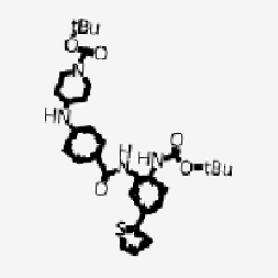 CC(C)(C)OC(=O)Nc1ccc(-c2cccs2)cc1NC(=O)c1ccc(NC2CCN(C(=O)OC(C)(C)C)CC2)cc1